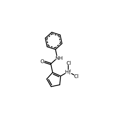 O=C(Nc1ccccc1)C1=[C]([Hf]([Cl])[Cl])CC=C1